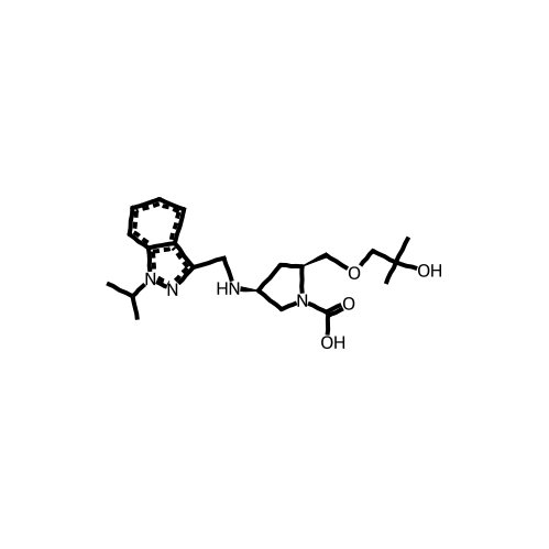 CC(C)n1nc(CN[C@H]2C[C@@H](COCC(C)(C)O)N(C(=O)O)C2)c2ccccc21